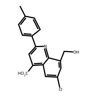 Cc1ccc(-c2cc(C(=O)O)c3cc(Cl)cc(CO)c3n2)cc1